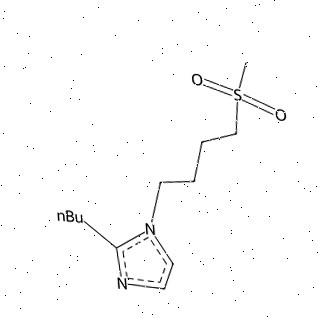 CCCCc1nccn1CCCCS(C)(=O)=O